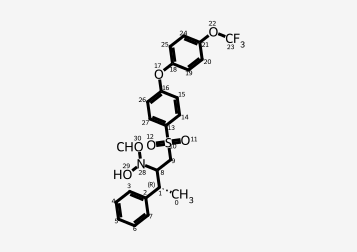 C[C@H](c1ccccc1)C(CS(=O)(=O)c1ccc(Oc2ccc(OC(F)(F)F)cc2)cc1)N(O)C=O